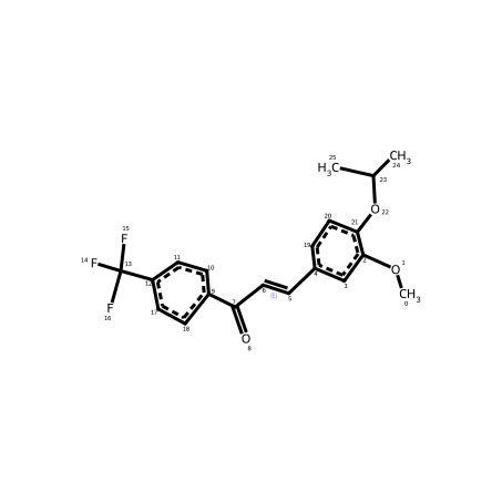 COc1cc(/C=C/C(=O)c2ccc(C(F)(F)F)cc2)ccc1OC(C)C